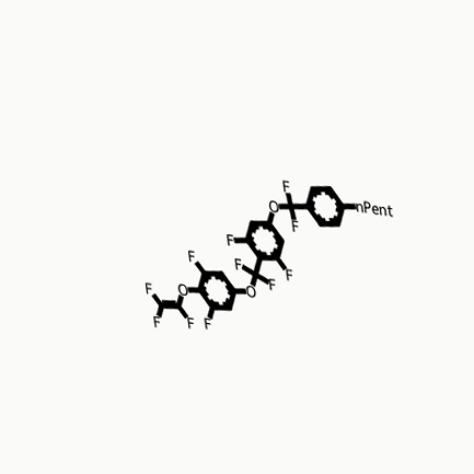 CCCCCc1ccc(C(F)(F)Oc2cc(F)c(C(F)(F)Oc3cc(F)c(OC(F)=C(F)F)c(F)c3)c(F)c2)cc1